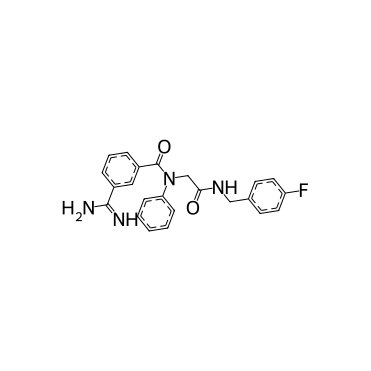 N=C(N)c1cccc(C(=O)N(CC(=O)NCc2ccc(F)cc2)c2ccccc2)c1